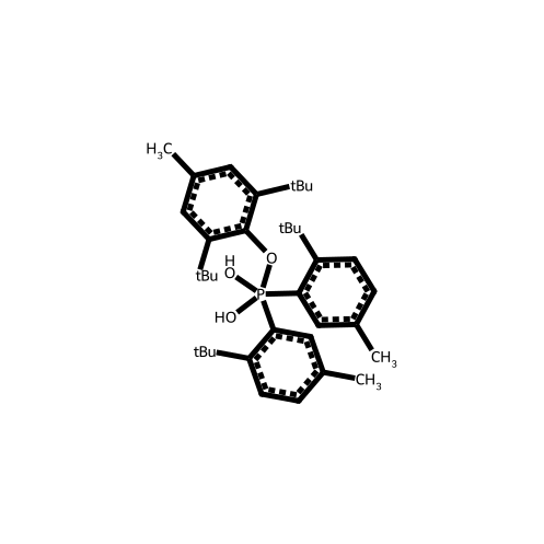 Cc1cc(C(C)(C)C)c(OP(O)(O)(c2cc(C)ccc2C(C)(C)C)c2cc(C)ccc2C(C)(C)C)c(C(C)(C)C)c1